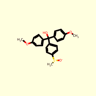 COc1ccc(C(O)(c2ccc(OC)cc2)c2ccc([S+](C)[O-])cc2)cc1